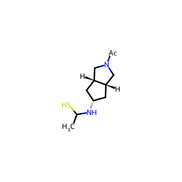 CC(=O)N1C[C@H]2C[C@@H](NC(C)S)C[C@H]2C1